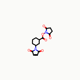 O=C(ON1C(=O)CCC1=O)C1CCCC(N2C(=O)C=CC2=O)C1